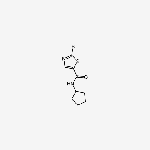 O=C(NC1CCCC1)c1cnc(Br)s1